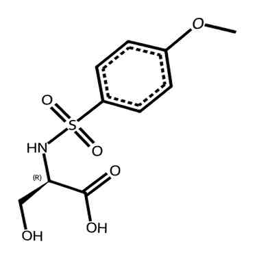 COc1ccc(S(=O)(=O)N[C@H](CO)C(=O)O)cc1